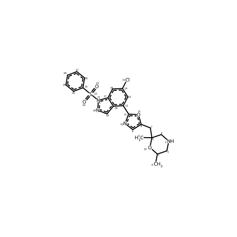 CC1CNCC(C)(Cc2cnc(-c3cc(Cl)cc4c3cnn4S(=O)(=O)c3ccccc3)o2)O1